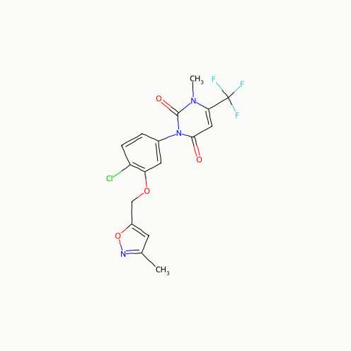 Cc1cc(COc2cc(-n3c(=O)cc(C(F)(F)F)n(C)c3=O)ccc2Cl)on1